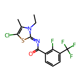 CCn1c(C)c(Cl)s/c1=N\C(=O)c1cccc(C(F)(F)F)c1F